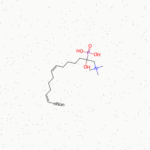 CCCCCCCCC/C=C\CCC/C=C\CCCCC(O)(C[N+](C)(C)C)P(=O)(O)O